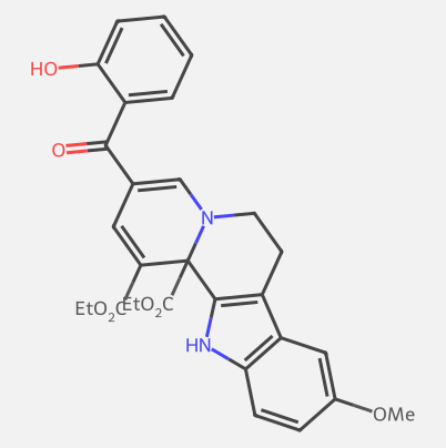 CCOC(=O)C1=CC(C(=O)c2ccccc2O)=CN2CCc3c([nH]c4ccc(OC)cc34)C12C(=O)OCC